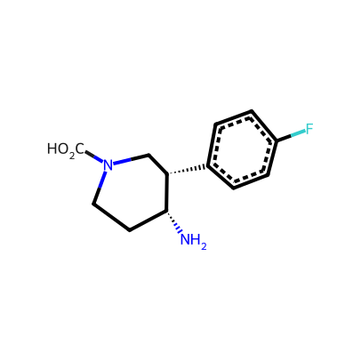 N[C@@H]1CCN(C(=O)O)C[C@@H]1c1ccc(F)cc1